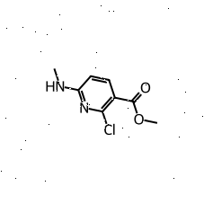 CNc1ccc(C(=O)OC)c(Cl)n1